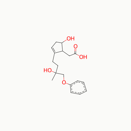 CC(O)(CCC1=CCC(O)C1CC(=O)O)COc1ccccc1